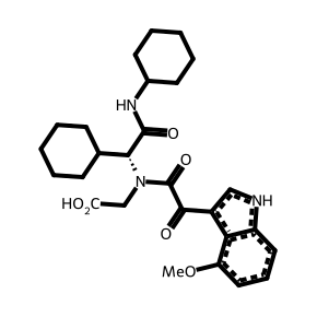 COc1cccc2[nH]cc(C(=O)C(=O)N(CC(=O)O)[C@@H](C(=O)NC3CCCCC3)C3CCCCC3)c12